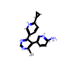 CCc1ncnc(-c2ccc(C3CC3)nc2)c1-c1ccc(N)nc1